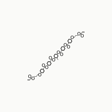 C=CC(=O)OCCCOc1ccc(C(=O)Oc2ccc(C(=O)Oc3ccc(OC(=O)c4ccc(OC(=O)c5ccc(OCCCOC(=O)C=C)cc5)cc4)c(C)c3)cc2)cc1